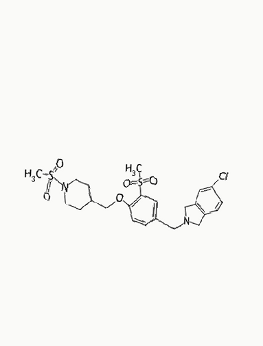 CS(=O)(=O)c1cc(CN2Cc3ccc(Cl)cc3C2)ccc1OCC1CCN(S(C)(=O)=O)CC1